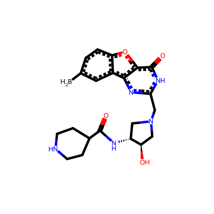 Bc1ccc2oc3c(=O)[nH]c(CN4C[C@@H](O)[C@H](NC(=O)C5CCNCC5)C4)nc3c2c1